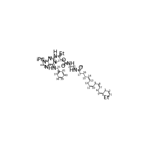 CC/C=C\C/C=C\C/C=C\C/C=C\C/C=C\CCCC(=O)NCCNC(=O)OC[C@@H](CC)Nc1nc(NCc2ccccc2)c2ncn(C(C)C)c2n1